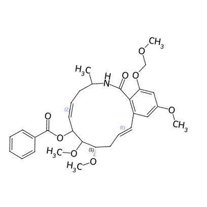 COCOc1cc(OC)cc2c1C(=O)NC(C)C/C=C\C(OC(=O)c1ccccc1)C(OC)[C@@H](OC)C/C=C/2